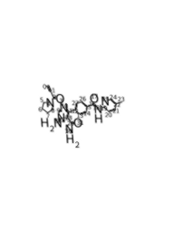 C#CC(=O)N1CCC[C@H]1c1nc(-c2ccc(C(=O)Nc3ccc(C)cn3)cc2)c(C(N)=O)n1N